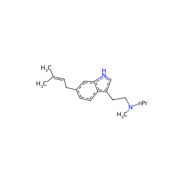 CCCN(C)CCc1c[nH]c2cc(CC=C(C)C)ccc12